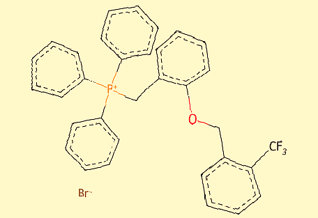 FC(F)(F)c1ccccc1COc1ccccc1C[P+](c1ccccc1)(c1ccccc1)c1ccccc1.[Br-]